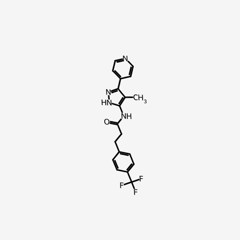 Cc1c(-c2ccncc2)n[nH]c1NC(=O)CCc1ccc(C(F)(F)F)cc1